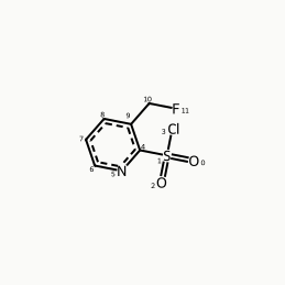 O=S(=O)(Cl)c1ncccc1CF